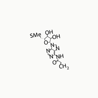 C=CC(=O)Nc1ncnc2c1ncn2[C@@H]1O[C@H](CSC)[C@@H](O)[C@H]1O